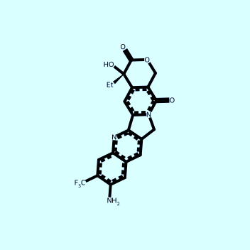 CC[C@@]1(O)C(=O)OCc2c1cc1n(c2=O)Cc2cc3cc(N)c(C(F)(F)F)cc3nc2-1